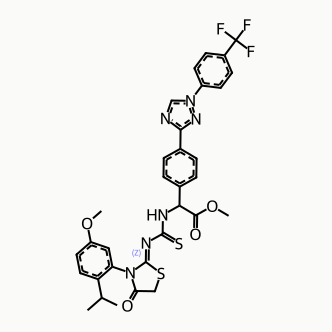 COC(=O)C(NC(=S)/N=C1\SCC(=O)N1c1cc(OC)ccc1C(C)C)c1ccc(-c2ncn(-c3ccc(C(F)(F)F)cc3)n2)cc1